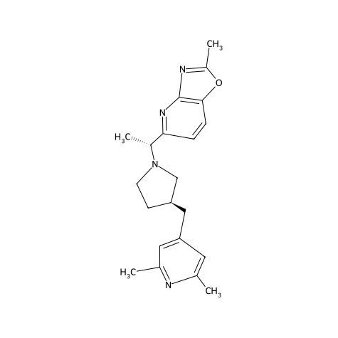 Cc1cc(C[C@H]2CCN([C@H](C)c3ccc4oc(C)nc4n3)C2)cc(C)n1